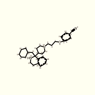 N#Cc1ccc(OCCCN2CCC(C3(CC4CCCCC4)NCCc4ccccc43)CC2)cc1